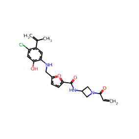 C=CC(=O)N1CC(NC(=O)c2ccc(CNc3cc(C(=C)C)c(Cl)cc3O)o2)C1